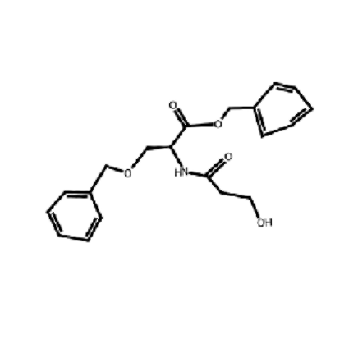 O=C(CCO)N[C@@H](COCc1ccccc1)C(=O)OCc1ccccc1